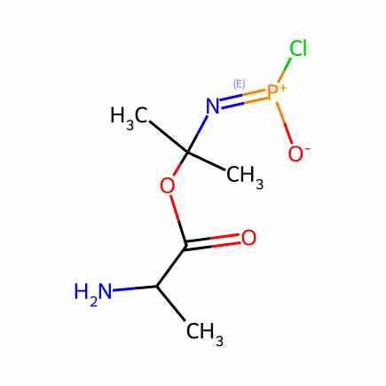 CC(N)C(=O)OC(C)(C)/N=[P+](\[O-])Cl